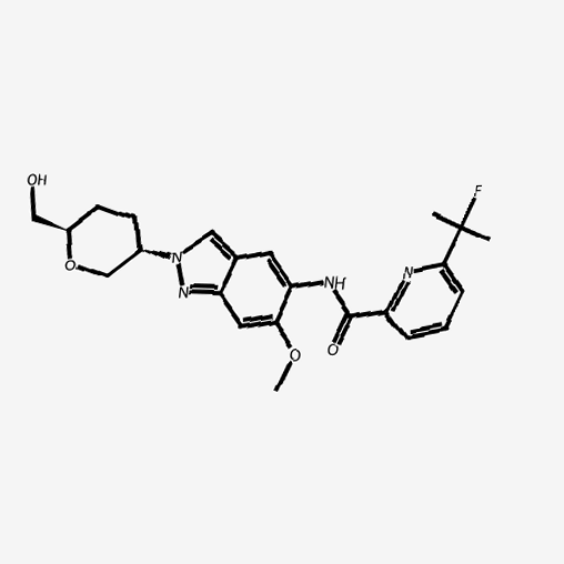 COc1cc2nn([C@@H]3CC[C@H](CO)OC3)cc2cc1NC(=O)c1cccc(C(C)(C)F)n1